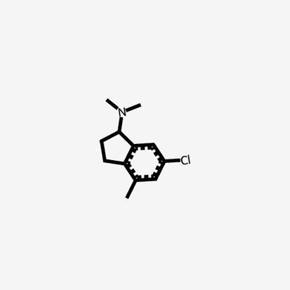 Cc1cc(Cl)cc2c1CCC2N(C)C